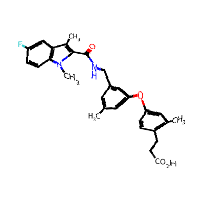 Cc1cc(CNC(=O)c2c(C)c3cc(F)ccc3n2C)cc(Oc2ccc(CCC(=O)O)c(C)c2)c1